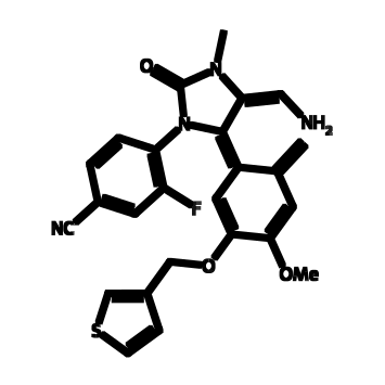 C=c1cc(OC)c(OCc2ccsc2)c/c1=c1/c(=C\N)n(C)c(=O)n1-c1ccc(C#N)cc1F